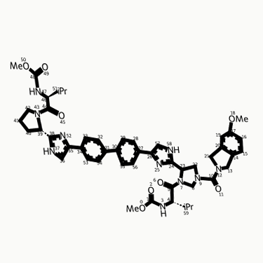 COC(=O)N[C@H](C(=O)N1CN(C(=O)N2Cc3ccc(OC)cc3C2)CC1c1nc(-c2ccc(-c3ccc(-c4c[nH]c([C@@H]5CCCN5C(=O)[C@@H](NC(=O)OC)C(C)C)n4)cc3)cc2)c[nH]1)C(C)C